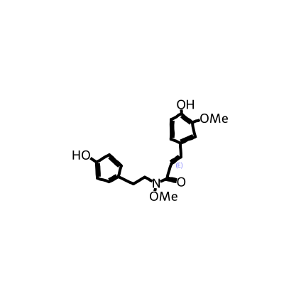 COc1cc(/C=C/C(=O)N(CCc2ccc(O)cc2)OC)ccc1O